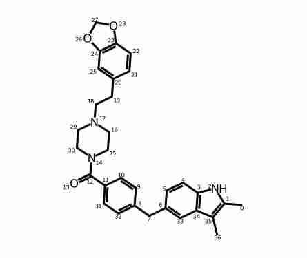 Cc1[nH]c2ccc(Cc3ccc(C(=O)N4CCN(CCc5ccc6c(c5)OCO6)CC4)cc3)cc2c1C